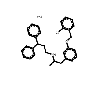 CC(Cc1cccc(OCc2ccccc2Cl)c1)NCCC(c1ccccc1)c1ccccc1.Cl